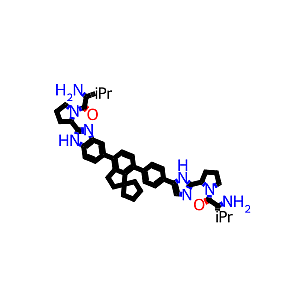 CC(C)C(N)C(=O)N1CCCC1c1ncc(-c2ccc(-c3ccc(-c4ccc5[nH]c(C6CCCN6C(=O)C(N)C(C)C)nc5c4)c4c3C3(CCCC3)CC4)cc2)[nH]1